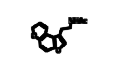 CC(=O)NCCc1coc2ccc3c(c12)C=CCO3